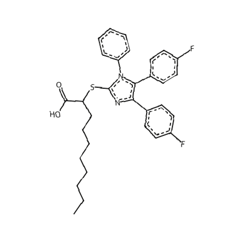 CCCCCCCCC(Sc1nc(-c2ccc(F)cc2)c(-c2ccc(F)cc2)n1-c1ccccc1)C(=O)O